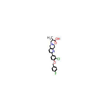 CC(CN1CCc2nc(-c3ccc(OCc4ccc(F)cc4)c(Cl)c3)ccc2C1)C(=O)O